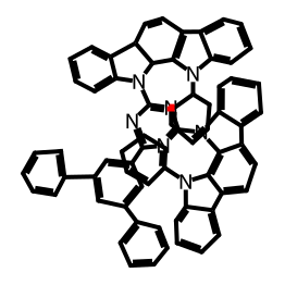 C1=CCC(n2c3c(c4ccccc42)C=CC2c4ccccc4N(c4nc(-c5cc(-c6ccccc6)cc(-c6ccccc6)c5)nc(-n5c6ccccc6c6ccc7c8ccccc8n(C8=CCCC=C8)c7c65)n4)C32)C=C1